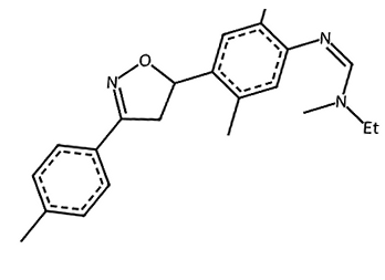 CCN(C)/C=N\c1cc(C)c(C2CC(c3ccc(C)cc3)=NO2)cc1C